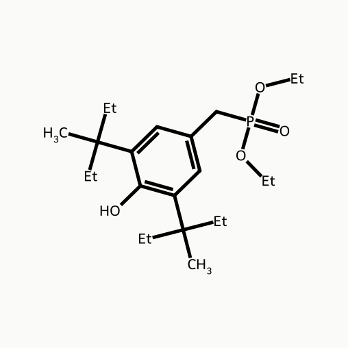 CCOP(=O)(Cc1cc(C(C)(CC)CC)c(O)c(C(C)(CC)CC)c1)OCC